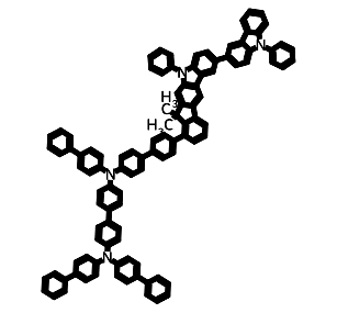 CC1(C)c2cc3c(cc2-c2cccc(-c4ccc(-c5ccc(N(c6ccc(-c7ccccc7)cc6)c6ccc(-c7ccc(N(c8ccc(-c9ccccc9)cc8)c8ccc(-c9ccccc9)cc8)cc7)cc6)cc5)cc4)c21)c1cc(-c2ccc4c(c2)c2ccccc2n4-c2ccccc2)ccc1n3-c1ccccc1